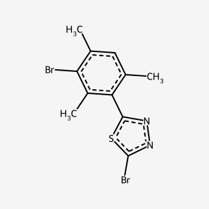 Cc1cc(C)c(-c2nnc(Br)s2)c(C)c1Br